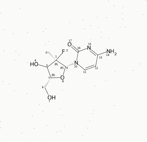 C[C@@]1(F)C(O)[C@@H](CO)O[C@H]1n1ccc(N)nc1=O